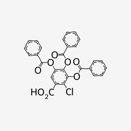 O=C(Oc1cc(C(=O)O)c(Cl)c(OC(=O)c2ccccc2)c1OC(=O)c1ccccc1)c1ccccc1